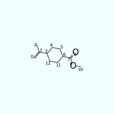 C=C(C)C1CCC(C(=O)OC)CC1